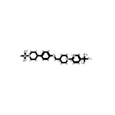 CS(=O)(=O)N1CCC(c2ccc(OCC3CCN(c4ccc(C(F)(F)F)cn4)CC3)cc2)CC1